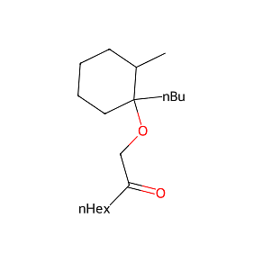 CCCCCCC(=O)COC1(CCCC)CCCCC1C